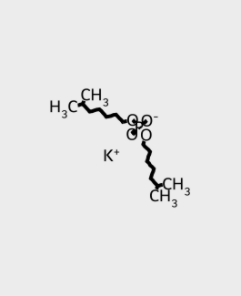 CC(C)CCCCCOP(=O)([O-])OCCCCCC(C)C.[K+]